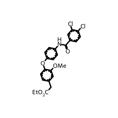 CCOC(=O)Cc1ccc(Oc2ccc(NC(=O)c3ccc(Cl)c(Cl)c3)cc2)c(OC)c1